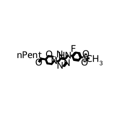 CCCCCC(=O)C1CCN(c2ncnc(Nc3ccc(S(C)(=O)=O)cc3F)c2[N+](=O)[O-])CC1